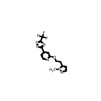 Cn1nccc1CCOc1cc(-c2noc(C(F)(F)F)n2)ccn1